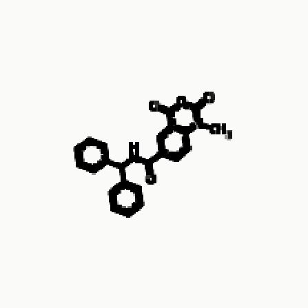 Cn1c(=O)oc(=O)c2cc(C(=O)NC(c3ccccc3)c3ccccc3)ccc21